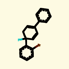 FC1(c2ccccc2Br)C=CC(c2ccccc2)=CC1